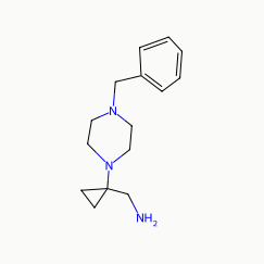 NCC1(N2CCN(Cc3ccccc3)CC2)CC1